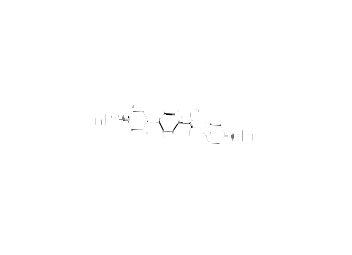 CCC[C@H]1CC[C@H](OC(=O)c2ccc([C@H]3CC[C@H](CCC)CC3)cc2)CC1